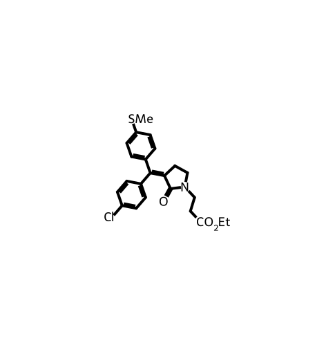 CCOC(=O)CCN1CCC(=C(c2ccc(Cl)cc2)c2ccc(SC)cc2)C1=O